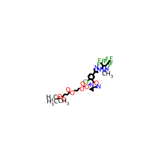 Cn1nc(C(F)(F)C(F)(F)F)c(C(F)(F)F)c1-n1cc(-c2ccc(Cl)c(C(=O)N(COC(=O)OCCCOC(=O)CCC(=O)OC(C)(C)C)C3(C#N)CC3)c2)cn1